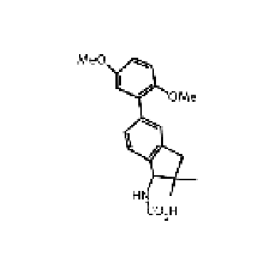 COc1ccc(OC)c(-c2ccc3c(c2)CC(C)(C)C3NC(=O)O)c1